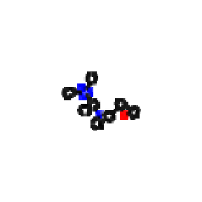 c1ccc(-c2nc(-c3ccccc3)nc(-c3ccc(-n4c5ccccc5c5ccc(-c6cccc7c6oc6ccccc67)cc54)c4ccccc34)n2)cc1